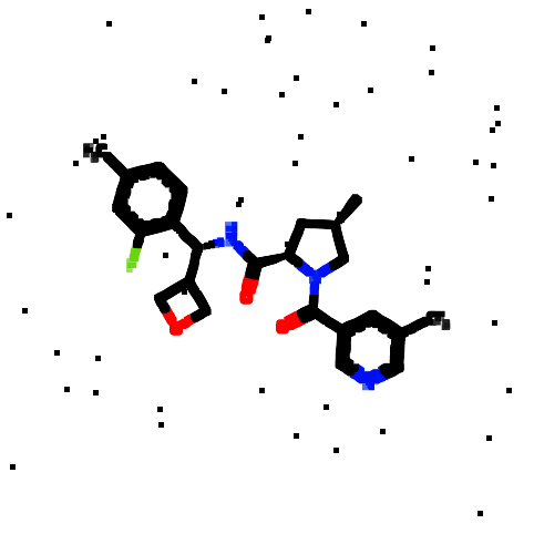 C[C@@H]1C[C@H](C(=O)N[C@@H](c2ccc(C(F)(F)F)cc2F)C2COC2)N(C(=O)c2cncc(C(F)(F)F)c2)C1